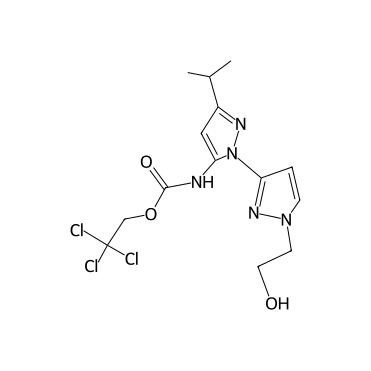 CC(C)c1cc(NC(=O)OCC(Cl)(Cl)Cl)n(-c2ccn(CCO)n2)n1